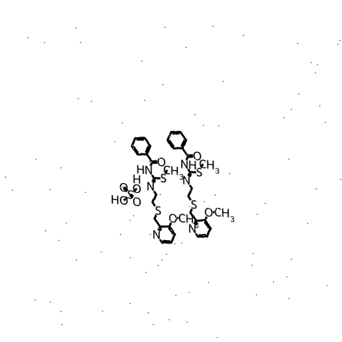 COc1cccnc1CSCCN=C(NC(=O)c1ccccc1)SC.COc1cccnc1CSCCN=C(NC(=O)c1ccccc1)SC.O=S(=O)(O)O